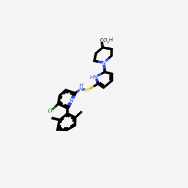 Cc1cccc(C)c1-c1nc(NSC2=CC=CC(N3CCC(C(=O)O)CC3)N2)ccc1Cl